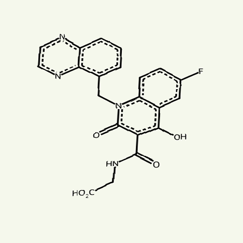 O=C(O)CNC(=O)c1c(O)c2cc(F)ccc2n(Cc2cccc3nccnc23)c1=O